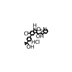 Cl.O=C1Nc2cc(Cl)c(-c3ccc(C4(CO)CC4)cc3)cc2C1=C(O)c1cc2cccnc2s1